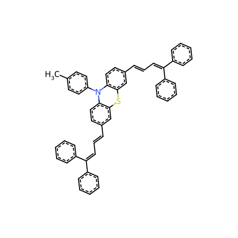 Cc1ccc(N2c3ccc(C=CC=C(c4ccccc4)c4ccccc4)cc3Sc3cc(C=CC=C(c4ccccc4)c4ccccc4)ccc32)cc1